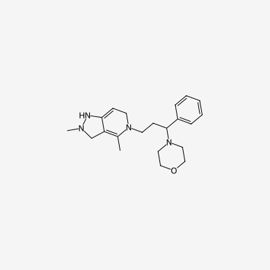 CC1=C2CN(C)NC2=CCN1CCC(c1ccccc1)N1CCOCC1